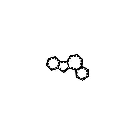 c1ccc2c3cc4ccccc4c-3cccc2c1